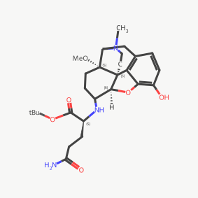 CO[C@@]12CCC(N[C@@H](CCC(N)=O)C(=O)OC(C)(C)C)[C@@H]3Oc4c(O)ccc5c4[C@@]31CCN(C)C2C5